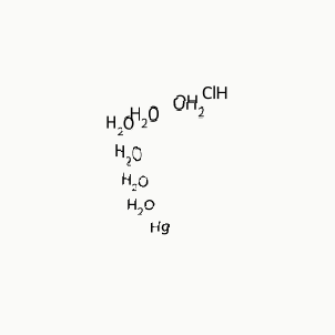 Cl.O.O.O.O.O.O.[Hg]